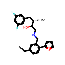 CC(=O)N[C@@H](Cc1cc(F)cc(F)c1)[C@H](O)CNCc1cc(CC(C)C)ccc1-c1ccco1